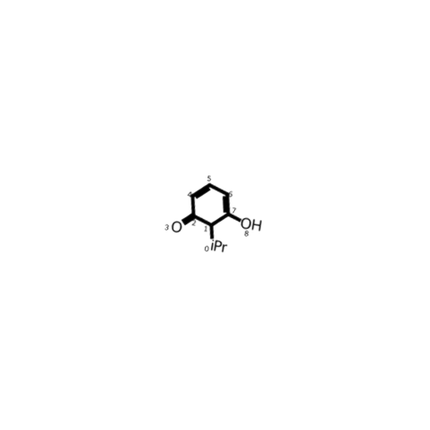 CC(C)C1C(=O)C=CC=C1O